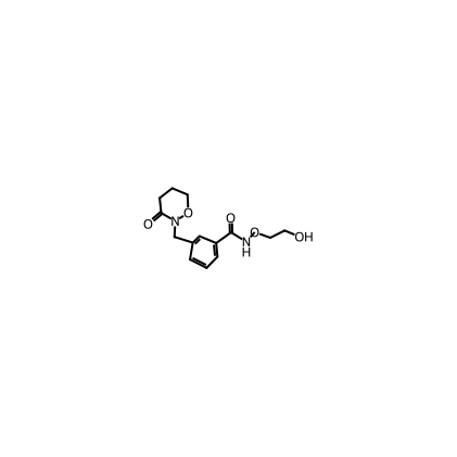 O=C(NOCCO)c1cccc(CN2OCCCC2=O)c1